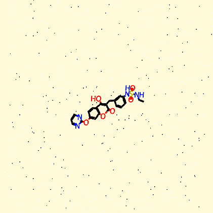 CCNS(=O)(=O)Nc1cccc(Cc2c(O)c3ccc(Oc4ncccn4)cc3oc2=O)c1